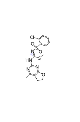 CS/C(=N\S(=O)(=O)c1ccccc1Cl)Nc1nc(C)c2c(n1)OCC2